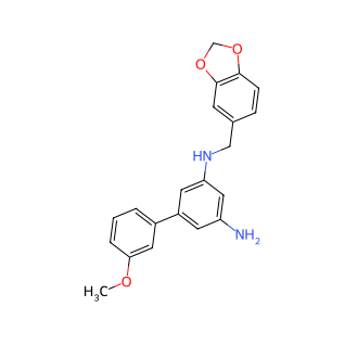 COc1cccc(-c2cc(N)cc(NCc3ccc4c(c3)OCO4)c2)c1